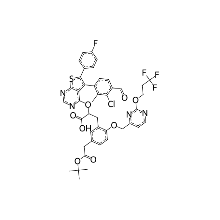 Cc1c(-c2c(-c3ccc(F)cc3)sc3ncnc(OC(Cc4cc(CC(=O)OC(C)(C)C)ccc4OCc4ccnc(OCCC(F)(F)F)n4)C(=O)O)c23)ccc(C=O)c1Cl